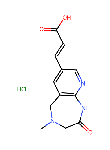 CN1CC(=O)Nc2ncc(/C=C/C(=O)O)cc2C1.Cl